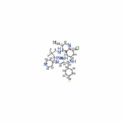 CC(C)(C)CNc1c(C#N)cnc2c(Cl)cc(N[C@H](C3=CN(c4ccncc4)NN3)c3ccc(F)cc3)cc12